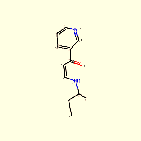 CCC(C)N/C=C\C(=O)c1cccnc1